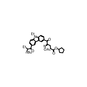 CCCCC(CC)C(=O)c1ccc2c(c1)c1cc(C(=O)C(CCC(=O)OC3CCCC3)=NOC(C)=O)ccc1n2CC